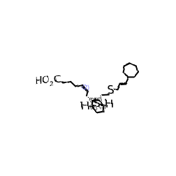 O=C(O)CCC/C=C\C[C@@H]1[C@H](CCSCC=CC2CCCCCC2)[C@@H]2CC[C@H]1S2